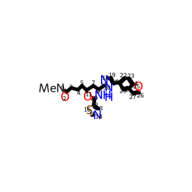 CNC(=O)CCCCCC(NC(=O)c1cncs1)c1ncc(-c2ccc3occc3c2)[nH]1